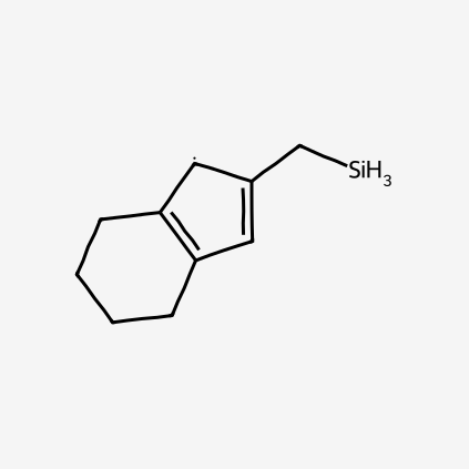 [SiH3]CC1=CC2=C([CH]1)CCCC2